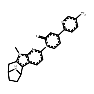 Cn1c2c(c3ccc(-n4ccc(-c5ccc(C(F)(F)F)cn5)cc4=O)nc31)C1CCC(C2)N1